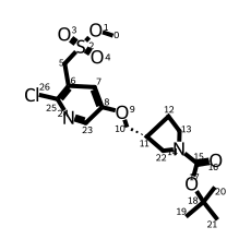 COS(=O)(=O)Cc1cc(OC[C@@H]2CCN(C(=O)OC(C)(C)C)C2)cnc1Cl